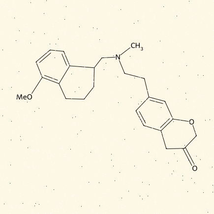 COc1cccc2c1CCCC2CN(C)CCc1ccc2c(c1)OCC(=O)C2